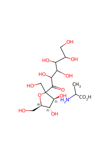 CC(N)C(=O)O.O=C(C(O)C(O)C(O)C(O)CO)C1(CO)O[C@H](CO)[C@@H](O)[C@@H]1O